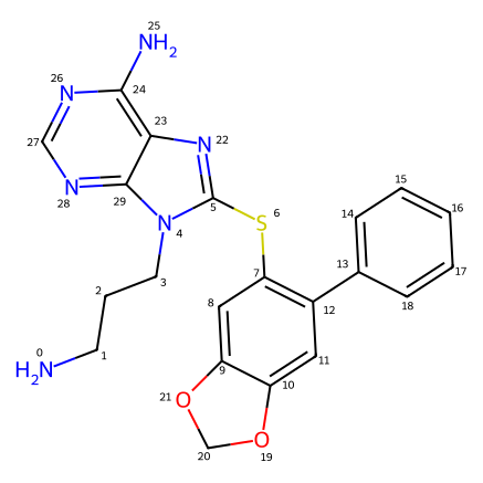 NCCCn1c(Sc2cc3c(cc2-c2ccccc2)OCO3)nc2c(N)ncnc21